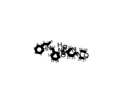 CC(CC1CCCCC1)NCc1ccccc1NS(=O)(=O)c1ccc(N2CCOCC2)nc1